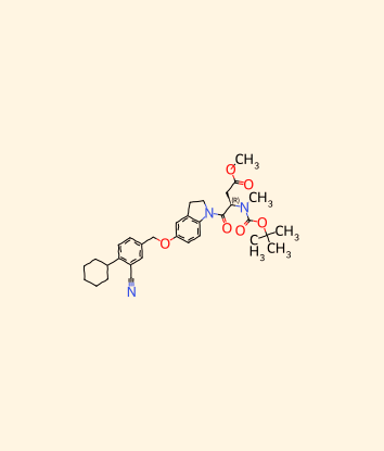 COC(=O)C[C@H](C(=O)N1CCc2cc(OCc3ccc(C4CCCCC4)c(C#N)c3)ccc21)N(C)C(=O)OC(C)(C)C